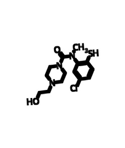 CN(C(=O)N1CCN(CCO)CC1)c1cc(Cl)ccc1S